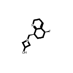 OC1CN(C[C@@H]2CC[C@H](F)C3=CCCN=C32)C1